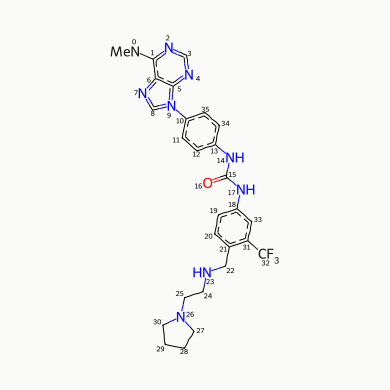 CNc1ncnc2c1ncn2-c1ccc(NC(=O)Nc2ccc(CNCCN3CCCC3)c(C(F)(F)F)c2)cc1